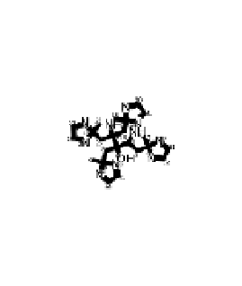 CC1(CC(N)C(O)(CC2(C)N=CC=N2)C(N)(CC2(C)N=CC=N2)CC2(C)N=CC=N2)N=CC=N1